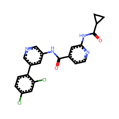 O=C(Nc1cncc(-c2ccc(Cl)cc2Cl)c1)c1ccnc(NC(=O)C2CC2)c1